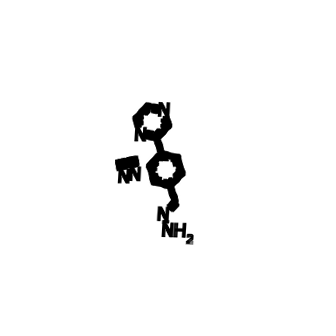 C#N.C#N.NN=Cc1ccc(-c2cnccn2)cc1